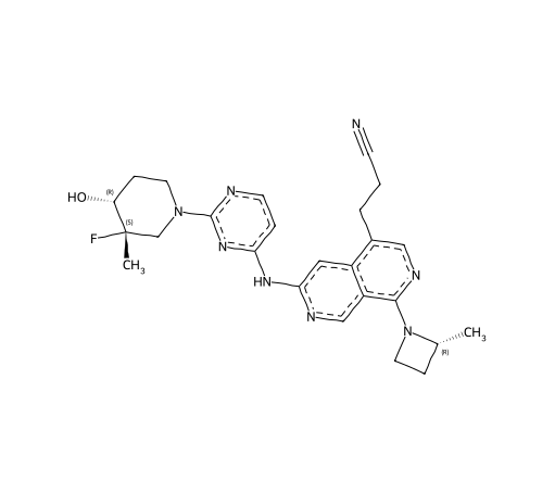 C[C@@H]1CCN1c1ncc(CCC#N)c2cc(Nc3ccnc(N4CC[C@@H](O)[C@@](C)(F)C4)n3)ncc12